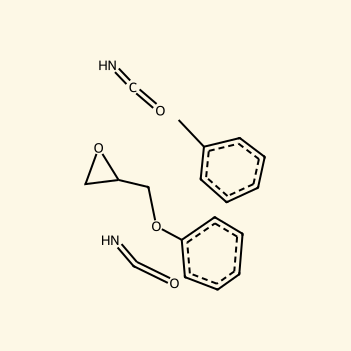 Cc1ccccc1.N=C=O.N=C=O.c1ccc(OCC2CO2)cc1